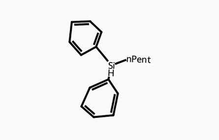 CCCCC[SiH](c1ccccc1)c1ccccc1